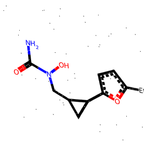 CCc1ccc(C2CC2CN(O)C(N)=O)o1